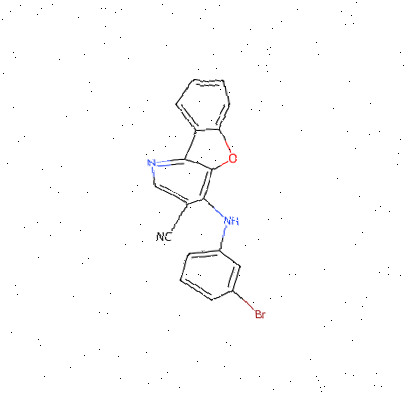 N#Cc1cnc2c(oc3ccccc32)c1Nc1cccc(Br)c1